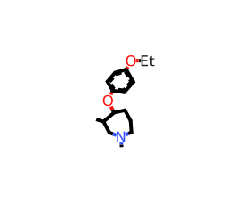 CCOc1ccc(OC2CCCN(C)CC2C)cc1